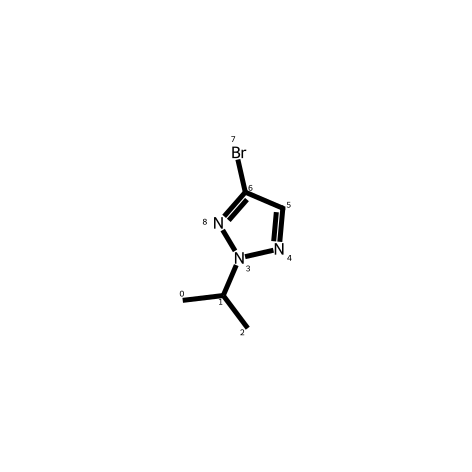 CC(C)n1ncc(Br)n1